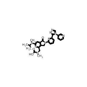 CC(C)N(C)c1cc2c(c(CN(C)C(=O)O)n1)CN(c1cccc(-c3nncn3-c3cccnc3)n1)C2=O